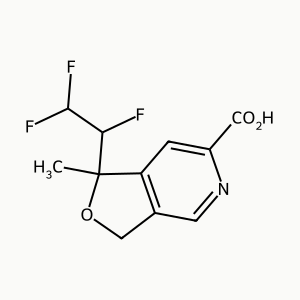 CC1(C(F)C(F)F)OCc2cnc(C(=O)O)cc21